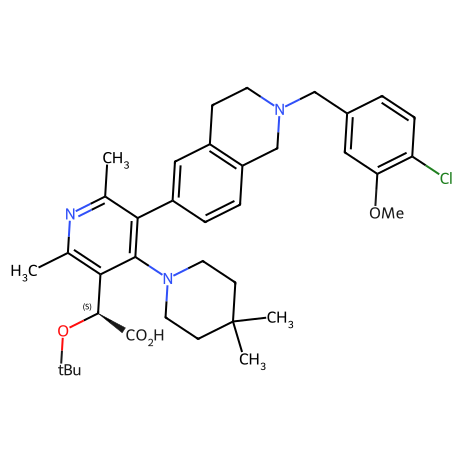 COc1cc(CN2CCc3cc(-c4c(C)nc(C)c([C@H](OC(C)(C)C)C(=O)O)c4N4CCC(C)(C)CC4)ccc3C2)ccc1Cl